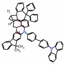 C[C@H]1C[C@@H]2C[C@@H]3C[C@H](C1)C21c2cc(N(c4ccc(-c5ccc(-n6c7ccccc7c7ccccc76)cc5)cc4)c4ccc5c(c4)C(C)(C)c4ccccc4-5)ccc2C(c2ccccc2)(c2ccccc2)c2ccccc2C31